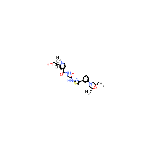 C[C@@H]1CN(c2cccc(-c3csc(NC(=O)CNC(=O)c4ccnc(C(C)(C)CO)c4)n3)c2)C[C@H](C)O1